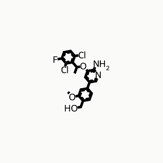 COc1cc(-c2cnc(N)c(OC(C)c3c(Cl)ccc(F)c3Cl)c2)ccc1CO